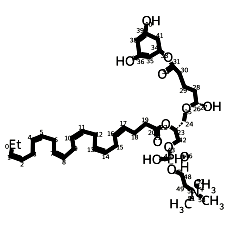 CC/C=C\C/C=C\C/C=C\C/C=C\C/C=C\C/C=C\CCC(=O)O[C@H](CO[C@@H](O)CCCC(=O)OC1C=C(O)C=C(O)C1)CO[PH](O)(O)OCC[N+](C)(C)C